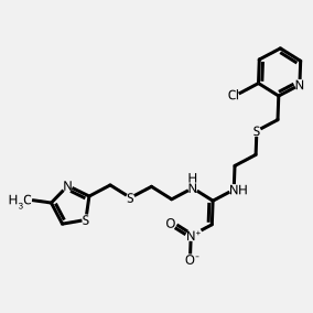 Cc1csc(CSCCN/C(=C\[N+](=O)[O-])NCCSCc2ncccc2Cl)n1